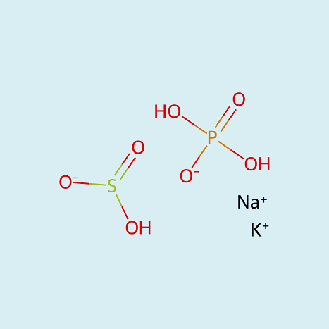 O=P([O-])(O)O.O=S([O-])O.[K+].[Na+]